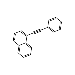 C(#Cc1cccc2ccccc12)c1ccccc1